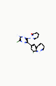 Nc1nc(-n2ccccc2=O)c(-c2cc(Cl)c3ncccc3c2)nc1Cl